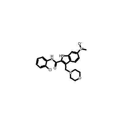 C[S+]([O-])c1ccc2c(CN3CCOCC3)c(C(=O)Nc3ccccc3Cl)[nH]c2c1